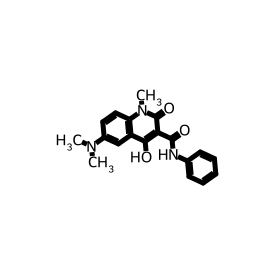 CN(C)c1ccc2c(c1)c(O)c(C(=O)Nc1ccccc1)c(=O)n2C